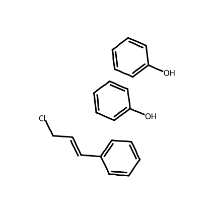 ClCC=Cc1ccccc1.Oc1ccccc1.Oc1ccccc1